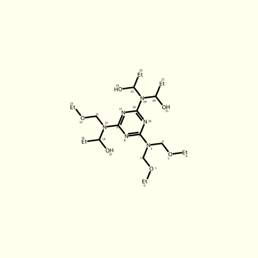 CCOCN(COCC)c1nc(N(COCC)C(O)CC)nc(N(C(O)CC)C(O)CC)n1